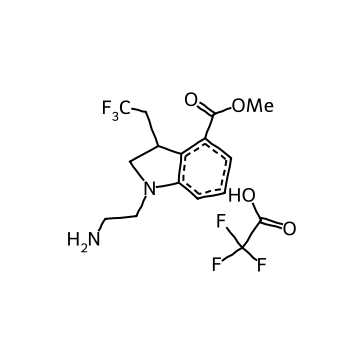 COC(=O)c1cccc2c1C(CC(F)(F)F)CN2CCN.O=C(O)C(F)(F)F